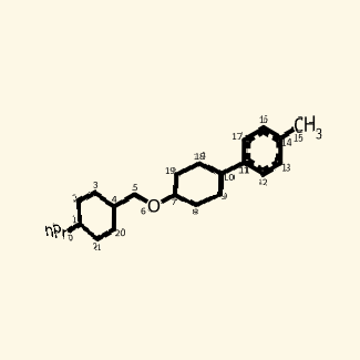 CCCC1CCC(COC2CCC(c3ccc(C)cc3)CC2)CC1